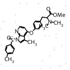 COC(=O)C(Cc1ccc(Oc2ccnc3c2c(C)cn3[S+]([O-])c2ccc(C)cc2)cc1)N(C)C